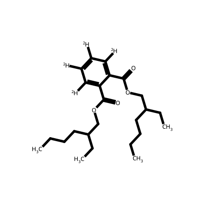 [2H]c1c([2H])c([2H])c(C(=O)OCC(CC)CCCC)c(C(=O)OCC(CC)CCCC)c1[2H]